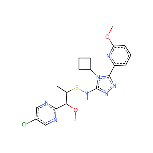 COc1cccc(-c2nnc(NSC(C)C(OC)c3ncc(Cl)cn3)n2C2CCC2)n1